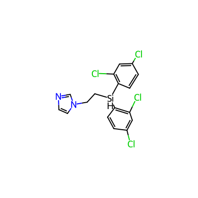 Clc1ccc([SiH](CCn2ccnc2)c2ccc(Cl)cc2Cl)c(Cl)c1